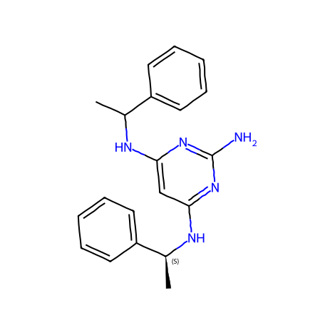 CC(Nc1cc(N[C@@H](C)c2ccccc2)nc(N)n1)c1ccccc1